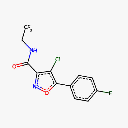 O=C(NCC(F)(F)F)c1noc(-c2ccc(F)cc2)c1Cl